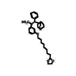 O=C(O)N(c1cccc(OCCCCCCCCC2OCCO2)c1)[C@@H](c1ccccc1)C1CN2CCC1CC2